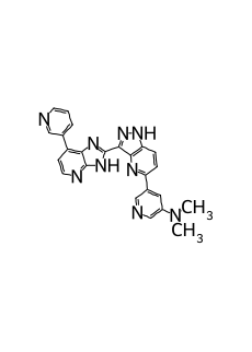 CN(C)c1cncc(-c2ccc3[nH]nc(-c4nc5c(-c6cccnc6)ccnc5[nH]4)c3n2)c1